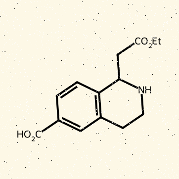 CCOC(=O)CC1NCCc2cc(C(=O)O)ccc21